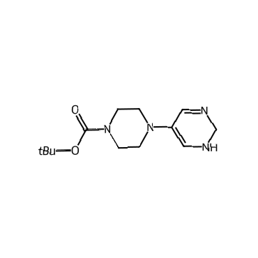 CC(C)(C)OC(=O)N1CCN(C2=CNCN=C2)CC1